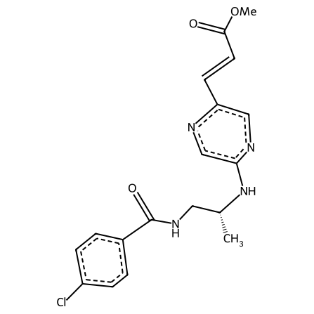 COC(=O)/C=C/c1cnc(N[C@H](C)CNC(=O)c2ccc(Cl)cc2)cn1